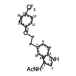 CC(=O)Nc1c[nH]c2ccc(CCOc3ccc(C(F)(F)F)cn3)cc12